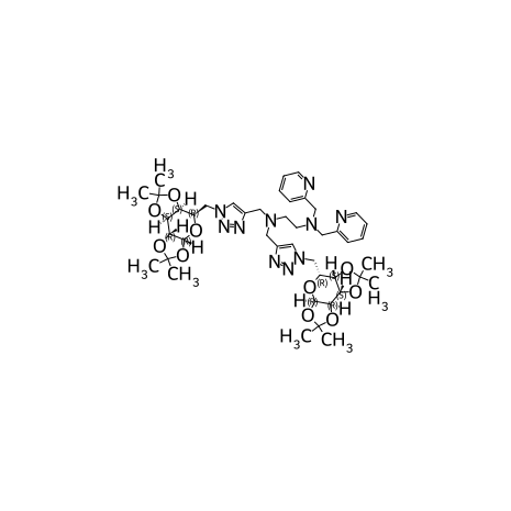 CC1(C)O[C@H]2[C@@H](O1)[C@@H](Cn1cc(CN(CCN(Cc3ccccn3)Cc3ccccn3)Cc3cn(C[C@H]4O[C@@H]5OC(C)(C)O[C@@H]5[C@H]5OC(C)(C)O[C@H]54)nn3)nn1)O[C@@H]1OC(C)(C)O[C@@H]12